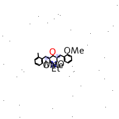 CCN1C/C(=C\c2c(C)cccc2OC)C(=O)/C(=C/c2c(OC)cccc2OC)C1